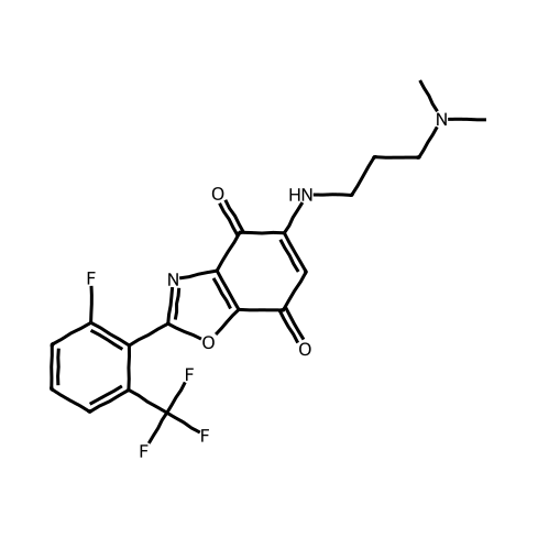 CN(C)CCCNC1=CC(=O)c2oc(-c3c(F)cccc3C(F)(F)F)nc2C1=O